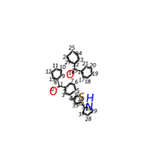 O=C(c1ccccc1)c1ccccc1.O=C(c1ccccc1)c1ccccc1.c1c[nH]c(-c2cccs2)c1